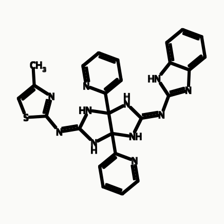 Cc1csc(N=C2NC3(c4ccccn4)NC(=Nc4nc5ccccc5[nH]4)NC3(c3ccccn3)N2)n1